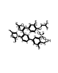 Cc1cn(-c2ccc(-c3cc(F)c(CO)c(S(C)(=O)=O)c3)cc2-c2nc(C)oc2-c2ccc(OCC(F)F)c(F)c2)c(C)n1